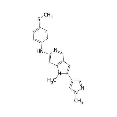 CSc1ccc(Nc2cc3c(cn2)cc(-c2cnn(C)c2)n3C)cc1